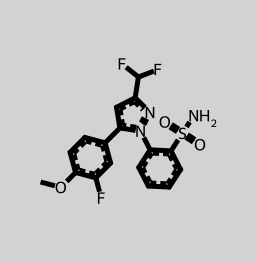 COc1ccc(-c2cc(C(F)F)nn2-c2ccccc2S(N)(=O)=O)cc1F